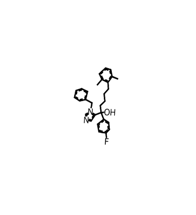 Cc1cccc(C)c1CCCCC(O)(c1ccc(F)cc1)c1cncn1Cc1ccccc1